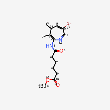 CC1=C(NC(=O)CCCCC(=O)OC(C)(C)C)N=CC(Br)=CC1C